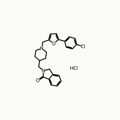 Cl.O=C1c2ccccc2CN1CC1CCN(Cc2ccc(-c3ccc(Cl)cc3)o2)CC1